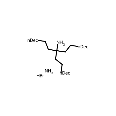 Br.CCCCCCCCCCCCC(N)(CCCCCCCCCCCC)CCCCCCCCCCCC.N